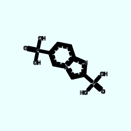 O=P(O)(O)c1ccc2nc(P(=O)(O)O)cn2c1